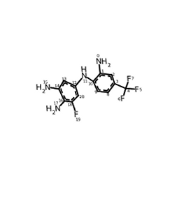 Nc1cc(C(F)(F)F)ccc1Nc1cc(N)c(N)c(F)c1